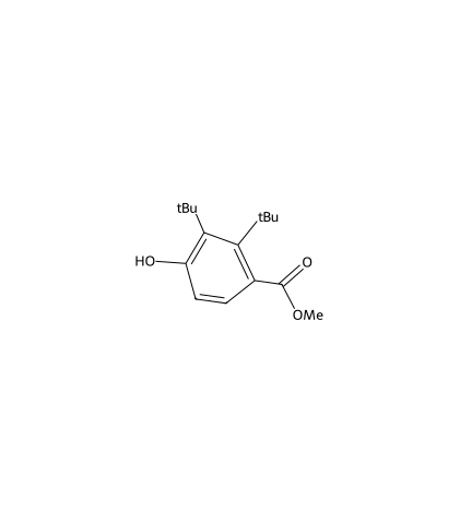 COC(=O)c1ccc(O)c(C(C)(C)C)c1C(C)(C)C